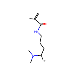 [CH2]CC(CCCNC(=O)C(=C)C)N(C)C